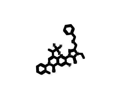 CCn1c(COCc2ccccc2)nn(-c2nc3c(C(C)C(F)(F)F)cn(-c4ccccc4C)c(=O)c3cc2F)c1=O